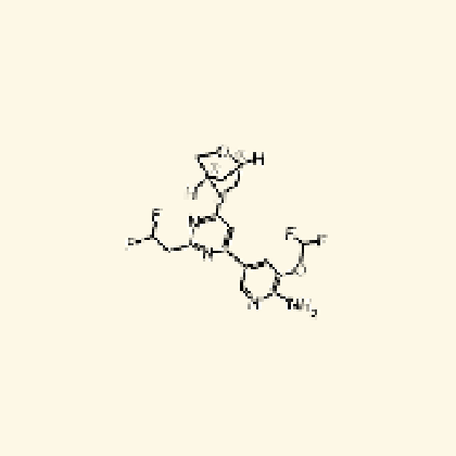 Nc1ncc(-c2cc(N3C[C@@H]4C[C@H]3CO4)nc(CC(F)F)n2)cc1OC(F)F